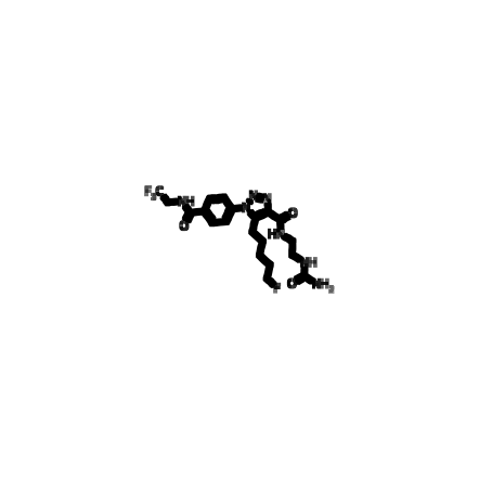 NC(=O)NCCNC(=O)c1nnn(-c2ccc(C(=O)NCC(F)(F)F)cc2)c1CCCCCF